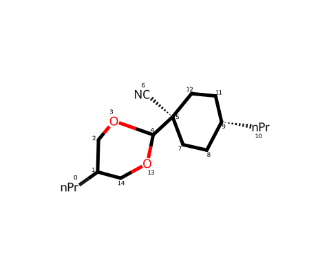 CCCC1COC([C@]2(C#N)CC[C@@H](CCC)CC2)OC1